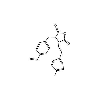 C=Cc1ccc(CC2C(=O)OC(=O)C2CCc2ccc(C)cc2)cc1